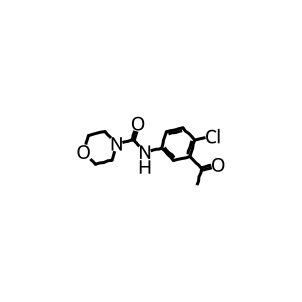 CC(=O)c1cc(NC(=O)N2CCOCC2)ccc1Cl